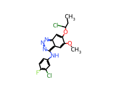 CCC(Cl)Oc1cc2nnnc(Nc3ccc(F)c(Cl)c3)c2cc1OC